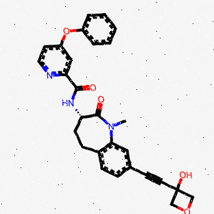 CN1C(=O)[C@@H](NC(=O)c2cc(Oc3ccccc3)ccn2)CCc2ccc(C#CC3(O)COC3)cc21